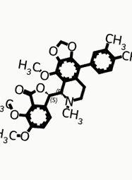 COc1ccc2c(c1OC)C(=O)O[C@@H]2[C@H]1c2c(c(-c3ccc(C)c(C)c3)c3c(c2OC)OCO3)CCN1C